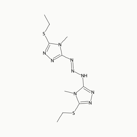 CCSc1nnc(N=NNc2nnc(SCC)n2C)n1C